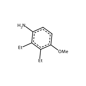 CCc1c(N)ccc(OC)c1CC